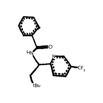 CC(C)(C)CC(NC(=O)c1ccccc1)c1ccc(C(F)(F)F)cn1